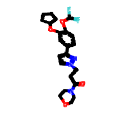 O=C(CCn1ccc(-c2ccc(OC(F)F)c(OC3CCCC3)c2)n1)N1CCOCC1